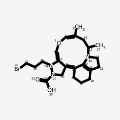 C/C1=C/O/C=C2\C(=C3\CCCC4=C3N(CC4)C(C)C1)CN(C(=O)O)N2CCCBr